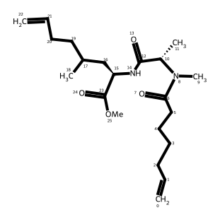 C=CCCCCC(=O)N(C)[C@@H](C)C(=O)N[C@H](CC(C)CCC=C)C(=O)OC